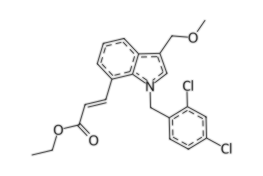 CCOC(=O)/C=C/c1cccc2c(COC)cn(Cc3ccc(Cl)cc3Cl)c12